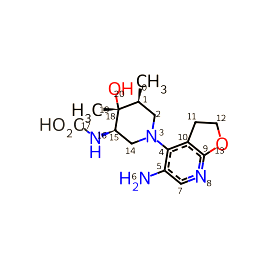 C[C@H]1CN(c2c(N)cnc3c2CCO3)C[C@@H](NC(=O)O)[C@]1(C)O